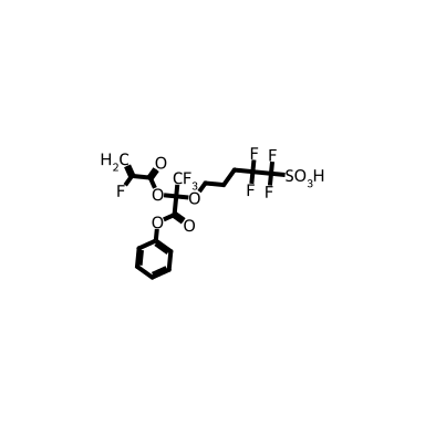 C=C(F)C(=O)OC(OCCCC(F)(F)C(F)(F)S(=O)(=O)O)(C(=O)Oc1ccccc1)C(F)(F)F